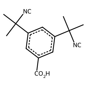 [C-]#[N+]C(C)(C)c1cc(C(=O)O)cc(C(C)(C)[N+]#[C-])c1